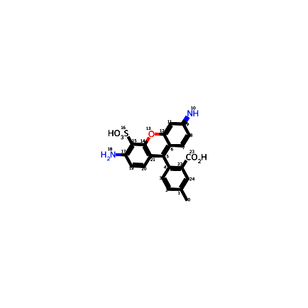 Cc1ccc(-c2c3ccc(=N)cc-3oc3c(S(=O)(=O)O)c(N)ccc23)c(C(=O)O)c1